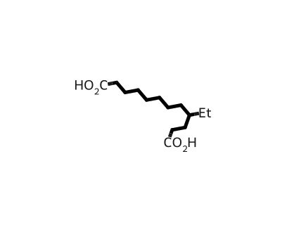 CCC(CCCCCCCC(=O)O)CCC(=O)O